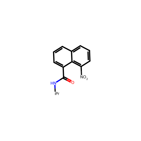 CC(C)NC(=O)c1cccc2cccc([N+](=O)[O-])c12